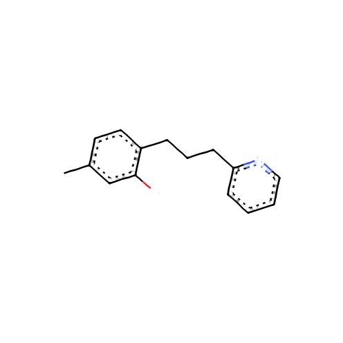 Cc1ccc(CCCc2ccccn2)c(O)c1